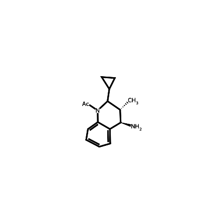 CC(=O)N1c2ccccc2[C@H](N)[C@@H](C)C1C1CC1